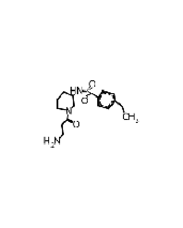 CCc1ccc(S(=O)(=O)N[C@@H]2CCCN(C(=O)CCN)C2)cc1